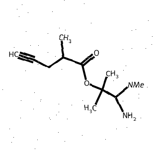 C#CCC(C)C(=O)OC(C)(C)C(N)NC